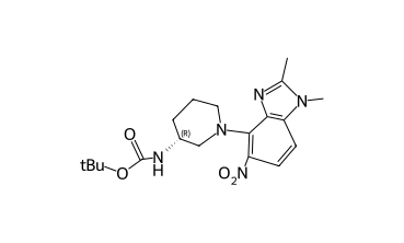 Cc1nc2c(N3CCC[C@@H](NC(=O)OC(C)(C)C)C3)c([N+](=O)[O-])ccc2n1C